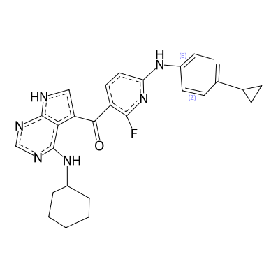 C=C(/C=C\C(=C/C)Nc1ccc(C(=O)c2c[nH]c3ncnc(NC4CCCCC4)c23)c(F)n1)C1CC1